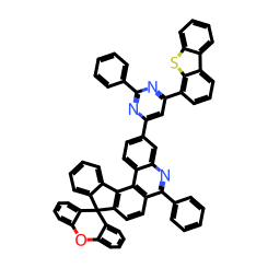 c1ccc(-c2nc(-c3ccc4c(c3)nc(-c3ccccc3)c3ccc5c(c34)-c3ccccc3C53c4ccccc4Oc4ccccc43)cc(-c3cccc4c3sc3ccccc34)n2)cc1